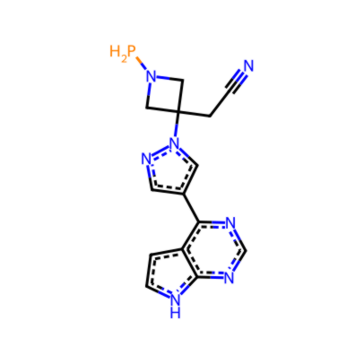 N#CCC1(n2cc(-c3ncnc4[nH]ccc34)cn2)CN(P)C1